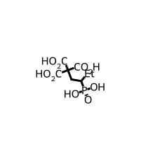 CCC(CC(C(=O)O)(C(=O)O)C(=O)O)P(=O)(O)O